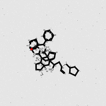 C=C[C@@H](CC1CCCC1)CC(O)C12C[C@@H]3[C@H](C)CC[C@H]3C3(C4OCCO4)CC1C=C(C(C)C)C23C(=O)OC(c1ccccc1)c1ccccc1